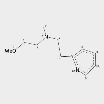 COCCN(C)CCc1ccccn1